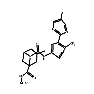 CC(=O)NNC(=O)C12CC(C)CC(C1)N2C(=O)Nc1ccc(C(F)(F)F)c(-c2ncc(F)cn2)c1